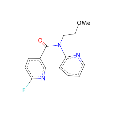 COCCN(C(=O)c1ccc(F)nc1)c1ccccn1